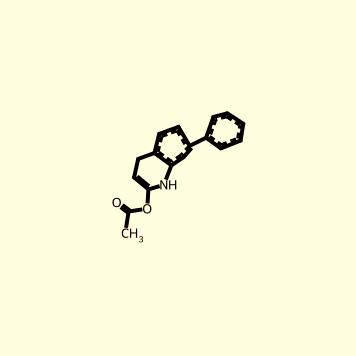 CC(=O)OC1=CCc2ccc(-c3ccccc3)cc2N1